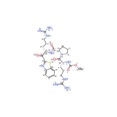 CC(C)(C)OC(=O)N[C@H](CCCNC(=N)N)C(=O)N1CCC[C@H]1C(=O)N[C@@H](CCCNC(=N)N)C(=O)c1nc2ccccc2s1